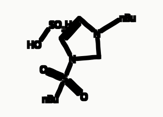 CCCCN1C=CN(S(=O)(=O)CCCC)C1.O=S(=O)(O)O